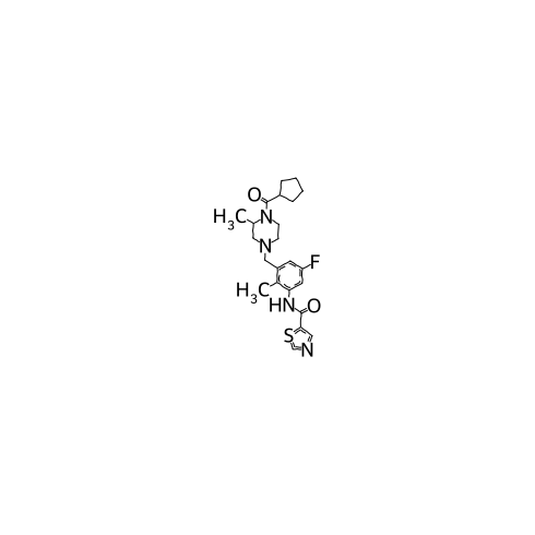 Cc1c(CN2CCN(C(=O)C3CCCC3)C(C)C2)cc(F)cc1NC(=O)c1cncs1